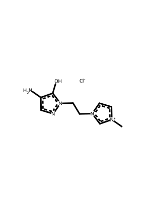 C[n+]1ccn(CCn2ncc(N)c2O)c1.[Cl-]